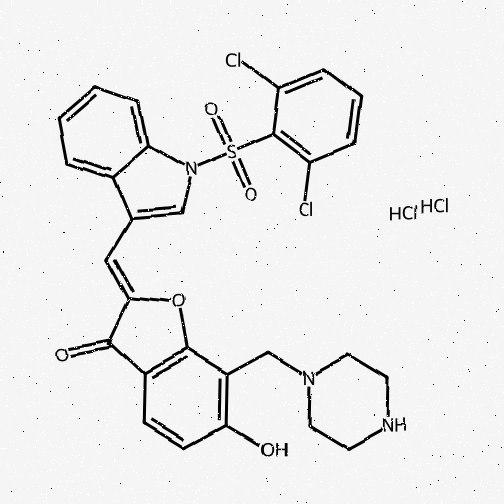 Cl.Cl.O=C1C(=Cc2cn(S(=O)(=O)c3c(Cl)cccc3Cl)c3ccccc23)Oc2c1ccc(O)c2CN1CCNCC1